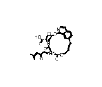 CC(C)=CC(=O)CC[C@@H]1NC(=O)OCC/C=C/c2ccc3ccnc(c3c2)O[C@@H]2C[C@@H](C(=O)O)N(C2)C1=O